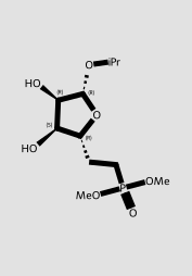 COP(=O)(CC[C@H]1O[C@@H](OC(C)C)[C@H](O)[C@@H]1O)OC